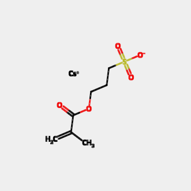 C=C(C)C(=O)OCCCS(=O)(=O)[O-].[Cs+]